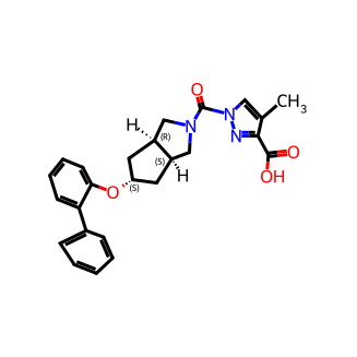 Cc1cn(C(=O)N2C[C@H]3C[C@H](Oc4ccccc4-c4ccccc4)C[C@H]3C2)nc1C(=O)O